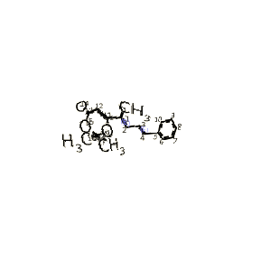 C/C(=C\C=C\c1ccccc1)C1=CC(=O)OC(C)(C)O1